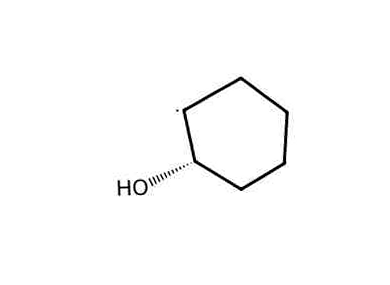 O[C@@H]1[CH]CCCC1